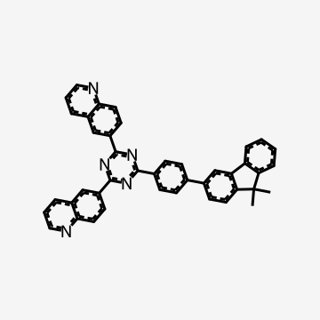 CC1(C)c2ccccc2-c2cc(-c3ccc(-c4nc(-c5ccc6ncccc6c5)nc(-c5ccc6ncccc6c5)n4)cc3)ccc21